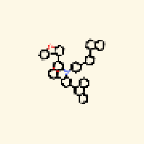 c1ccc(-c2ccc(-c3cc4ccccc4c4ccccc34)cc2N(c2ccc(-c3cccc(-c4cccc5ccccc45)c3)cc2)c2cccc(-c3cccc4oc5ccccc5c34)c2)cc1